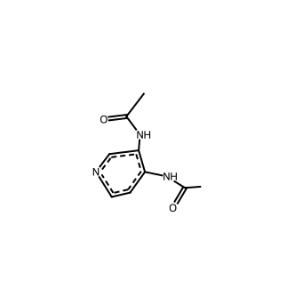 CC(=O)Nc1ccncc1NC(C)=O